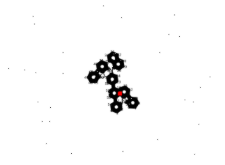 c1ccc(-n2c3ccccc3c3ccccc32)c(-c2ccc(-c3ccc(N(c4cccc5ccccc45)c4cccc5c4oc4ccccc45)cc3)cc2)c1